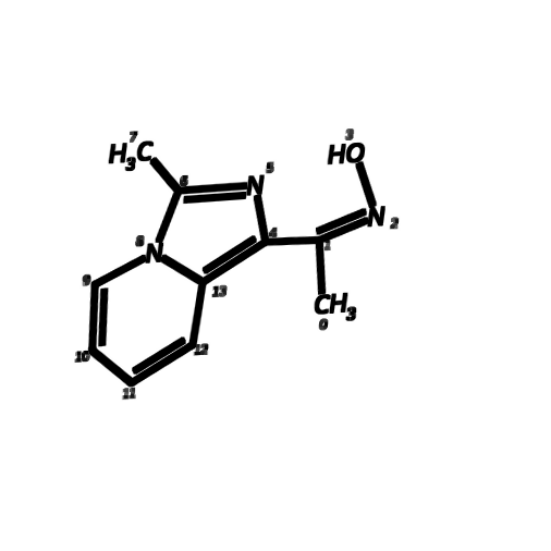 C/C(=N/O)c1nc(C)n2ccccc12